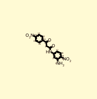 Nc1cc(NC(=O)CC(=O)c2ccc([N+](=O)[O-])cc2)ccc1[N+](=O)[O-]